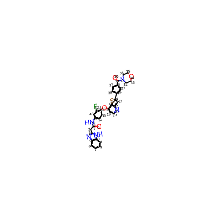 O=C(Cc1nc2ccccc2[nH]1)Nc1ccc(Oc2ccnc3cc(-c4ccc(C(=O)N5CCOCC5)cc4)sc23)c(F)c1